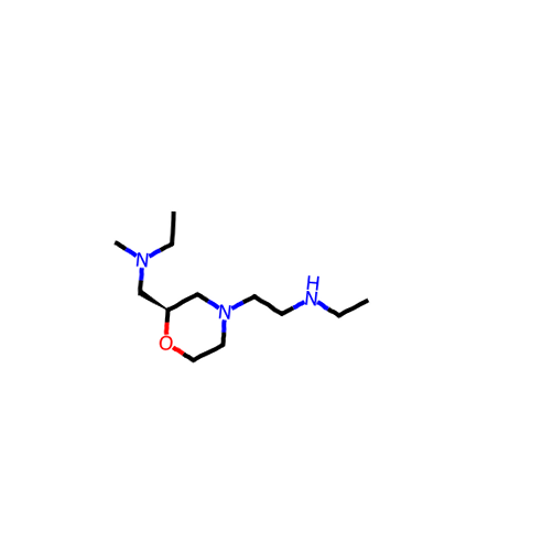 CCNCCN1CCO[C@@H](CN(C)CC)C1